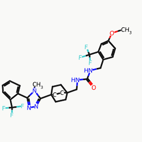 COc1ccc(CNC(=O)NCC23CCC(c4nnc(-c5ccccc5C(F)(F)F)n4C)(CC2)CC3)c(C(F)(F)F)c1